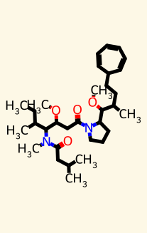 CCC(C)C(C(CC(=O)N1CCCC1C(OC)C(C)CCC1C=CC=CC=C1)OC)N(C)C(=O)CC(C)C